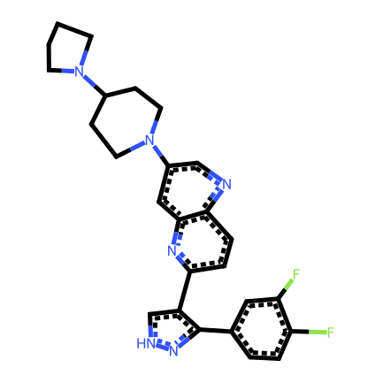 Fc1ccc(-c2n[nH]cc2-c2ccc3ncc(N4CCC(N5CCCC5)CC4)cc3n2)cc1F